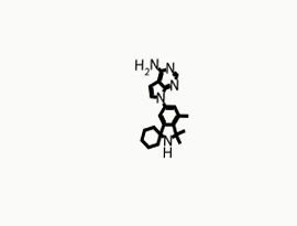 Cc1cc(-n2ccc3c(N)ncnc32)cc2c1C(C)(C)NC21CCCCC1